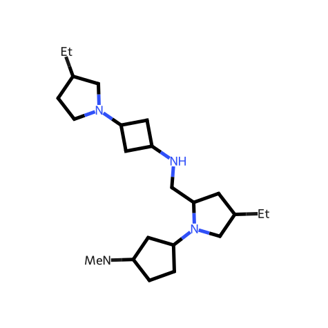 CCC1CCN(C2CC(NCC3CC(CC)CN3C3CCC(NC)C3)C2)C1